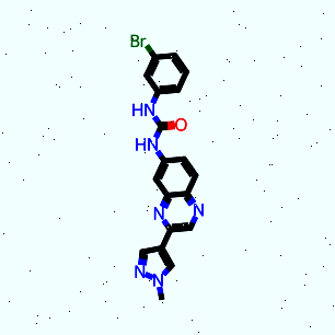 Cn1cc(-c2cnc3ccc(NC(=O)Nc4cccc(Br)c4)cc3n2)cn1